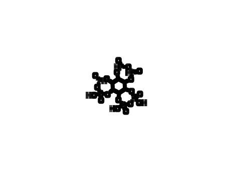 O=[PH]1OC2C(O[PH](=O)O1)C1OP(=O)(O)OP(=O)(O)OC1C1OP(=O)(O)O[PH](=O)OC21